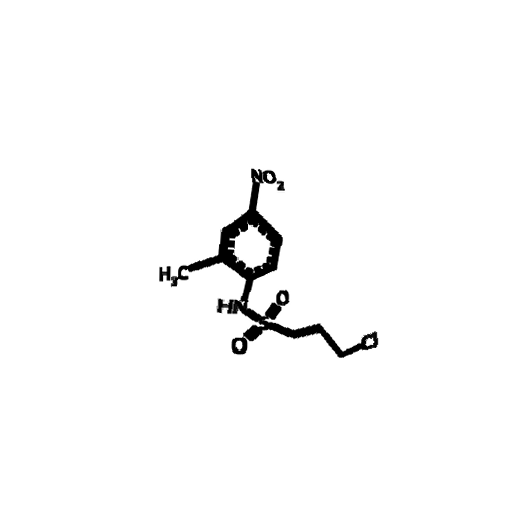 Cc1cc([N+](=O)[O-])ccc1NS(=O)(=O)CCCCl